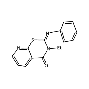 CCn1c(=Nc2ccccc2)sc2ncccc2c1=O